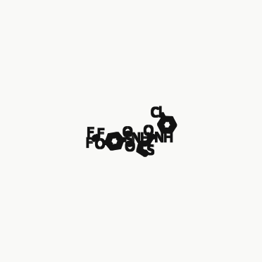 O=C(Nc1cccc(Cl)c1)c1sccc1NS(=O)(=O)c1ccc(OC(F)(F)F)cc1